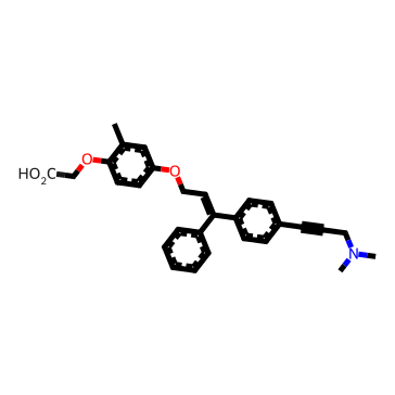 Cc1cc(OC/C=C(\c2ccccc2)c2ccc(C#CCN(C)C)cc2)ccc1OCC(=O)O